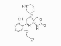 O=C1Nc2nc(-c3c(O)cccc3OCC3CC3)cc([C@@H]3CCCNC3)c2CO1